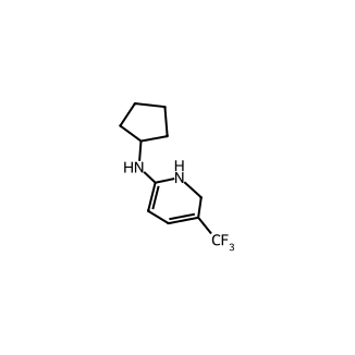 FC(F)(F)C1=CC=C(NC2CCCC2)NC1